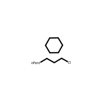 C1CCCCC1.CCCCCCCCCl